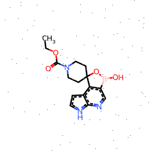 CCOC(=O)N1CCC2(CC1)OB(O)c1cnc3[nH]ccc3c12